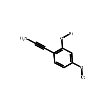 CCOc1ccc(C#CN)c(OCC)c1